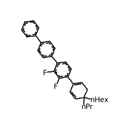 CCCCCCC1(CCC)C=CC(c2ccc(-c3ccc(-c4ccccc4)cc3)c(F)c2F)=CC1